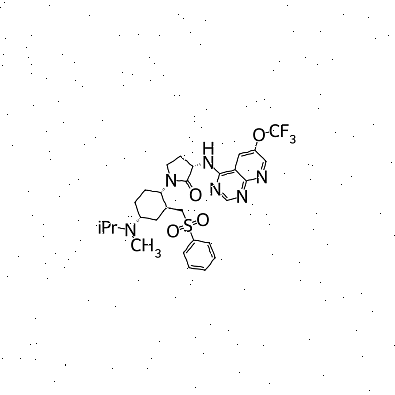 CC(C)N(C)[C@@H]1CC[C@H](N2CC[C@H](Nc3ncnc4ncc(OC(F)(F)F)cc34)C2=O)[C@@H](CS(=O)(=O)c2ccccc2)C1